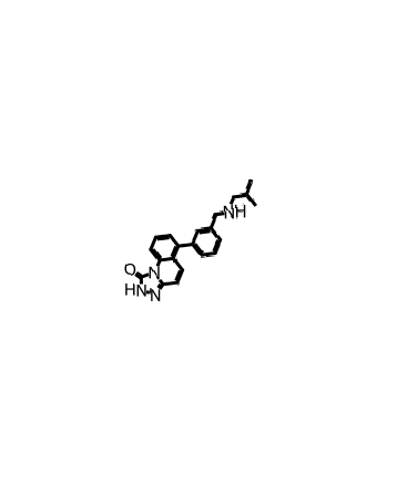 CC(C)CNCc1cccc(-c2cccc3c2ccc2n[nH]c(=O)n23)c1